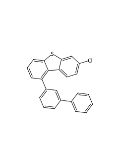 Clc1ccc2c(c1)sc1cccc(-c3cccc(-c4ccccc4)c3)c12